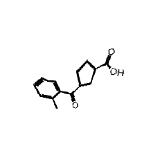 Cc1ccccc1C(=O)[C@H]1CC[C@@H](C(=O)O)C1